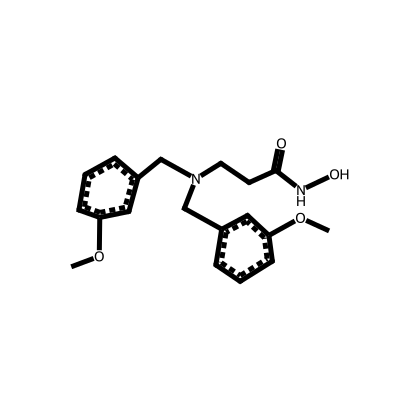 COc1cccc(CN(CCC(=O)NO)Cc2cccc(OC)c2)c1